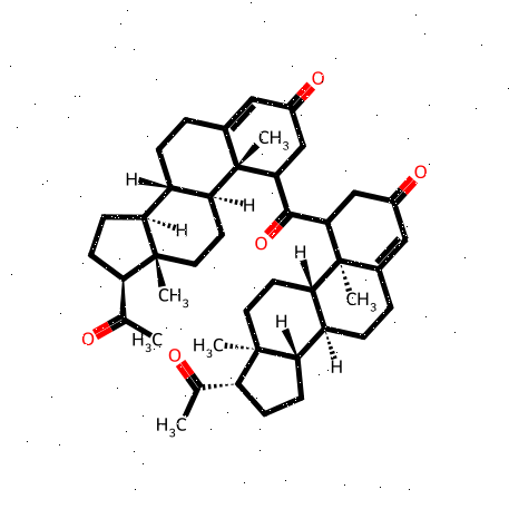 CC(=O)[C@H]1CC[C@H]2[C@@H]3CCC4=CC(=O)CC(C(=O)C5CC(=O)C=C6CC[C@H]7[C@@H]8CC[C@H](C(C)=O)[C@@]8(C)CC[C@@H]7[C@]65C)[C@]4(C)[C@H]3CC[C@]12C